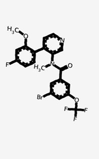 COc1cc(F)ccc1-c1ccncc1N(C)C(=O)c1cc(Br)cc(OC(F)(F)F)c1